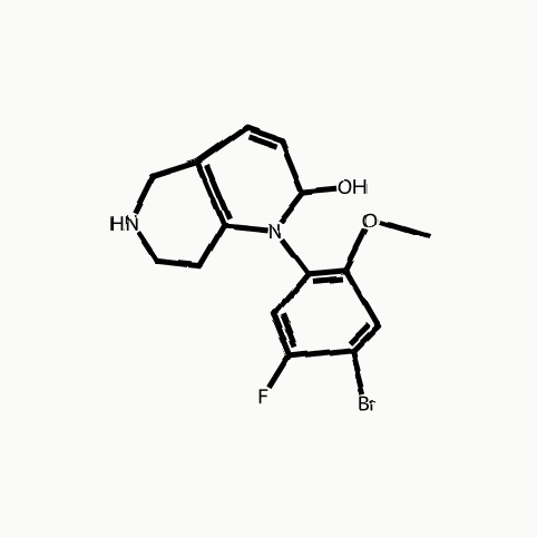 COc1cc(Br)c(F)cc1N1C2=C(C=CC1O)CNCC2